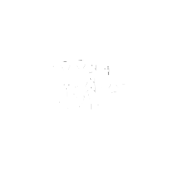 CCN(CC)CCN(Cc1ccc(-c2ccc(C(F)(F)F)cc2)cc1)C(=O)Cn1cc(OC)c(=O)nc1SCc1ccc(F)cc1.O=C(O)C(O)C(O)C(=O)O